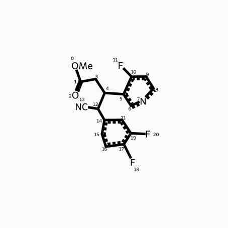 COC(=O)CC(c1cnccc1F)C(C#N)c1ccc(F)c(F)c1